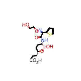 O=C(O)CC[C@@H]1CC[C@H](NC(=O)/C(=N\OCCO)c2cccs2)B(O)O1